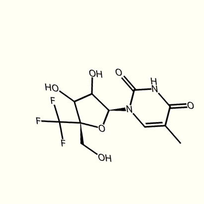 Cc1cn([C@H]2O[C@](CO)(C(F)(F)F)C(O)C2O)c(=O)[nH]c1=O